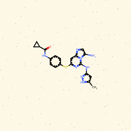 Cc1cc(Nc2nc(Sc3ccc(NC(=O)C4CC4)cc3)cc3ncc(N)n23)n[nH]1